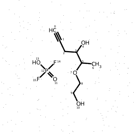 C#CCC(O)C(C)OCCO.O=P(O)(F)F